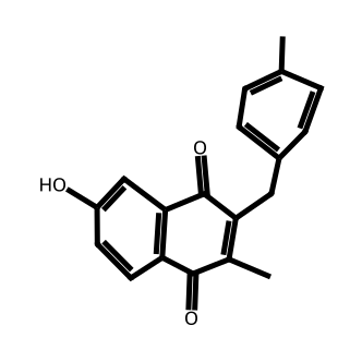 CC1=C(Cc2ccc(C)cc2)C(=O)c2cc(O)ccc2C1=O